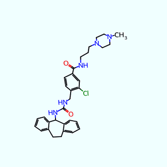 CN1CCN(CCCNC(=O)c2ccc(CNC(=O)NC3c4ccccc4CCc4ccccc43)c(Cl)c2)CC1